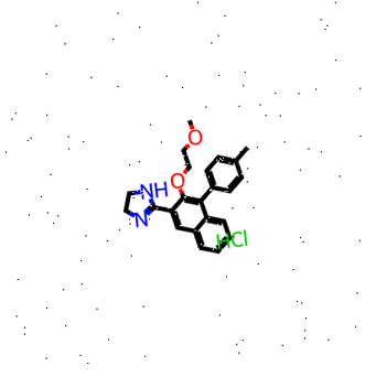 COCCOc1c(C2=NCCN2)cc2ccccc2c1-c1ccc(C)cc1.Cl